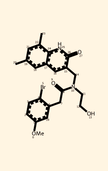 COc1ccc(Br)c(CC(=O)N(CCO)Cc2cc3cc(C)cc(C)c3[nH]c2=O)c1